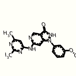 COc1cccc(-n2[nH]c(=O)c3cnc(Nc4cc(C)nc(C)n4)cc32)c1